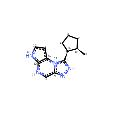 C[C@@H]1CCC[C@@H]1c1nnc2cnc3[nH]ccc3n12